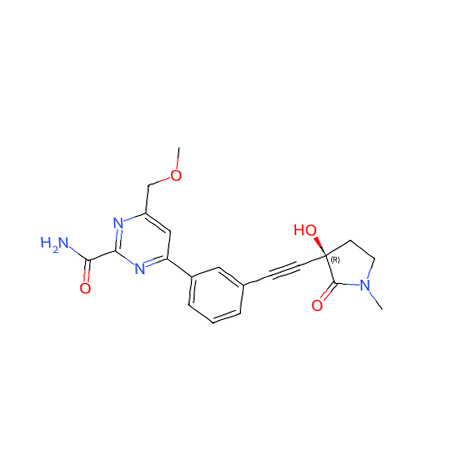 COCc1cc(-c2cccc(C#C[C@]3(O)CCN(C)C3=O)c2)nc(C(N)=O)n1